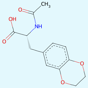 CC(=O)N[C@H](Cc1ccc2c(c1)OCCO2)C(=O)O